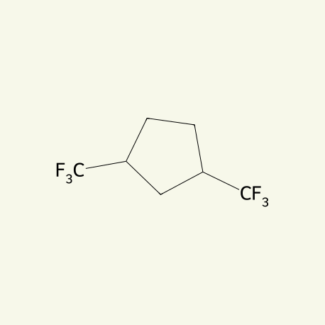 FC(F)(F)C1CCC(C(F)(F)F)C1